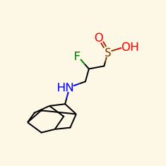 O=S(O)CC(F)CNC1C2CC3CC(C2)CC1C3